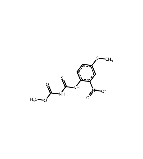 COC(=O)NC(=S)Nc1ccc(SC)cc1[N+](=O)[O-]